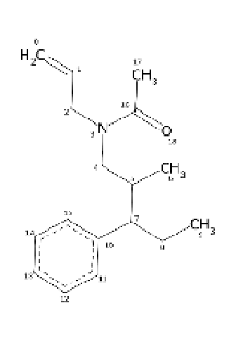 C=CCN(CC(C)C(CC)c1ccccc1)C(C)=O